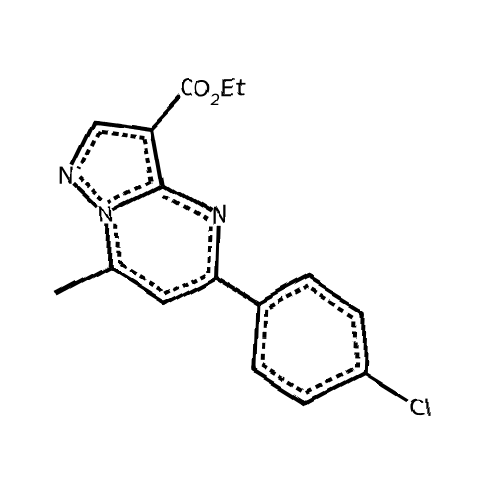 CCOC(=O)c1cnn2c(C)cc(-c3ccc(Cl)cc3)nc12